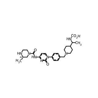 CC(NC(=O)O)C1CCN(Cc2ccc(-n3ccc(NC(=O)N4CCN[C@H](C)C4)nc3=O)cc2)CC1